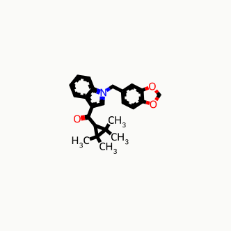 CC1(C)C(C(=O)c2cn(Cc3ccc4c(c3)OCO4)c3ccccc23)C1(C)C